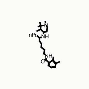 CCCC(CCCCCNC(=O)c1cccc(C)c1C)NC1CCN(C)C(C)(C)C1C